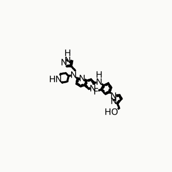 OCc1ccn(-c2ccc(Nc3cc4nc(N(Cc5cn[nH]c5)C5CCNCC5)ccc4cn3)c(F)c2)n1